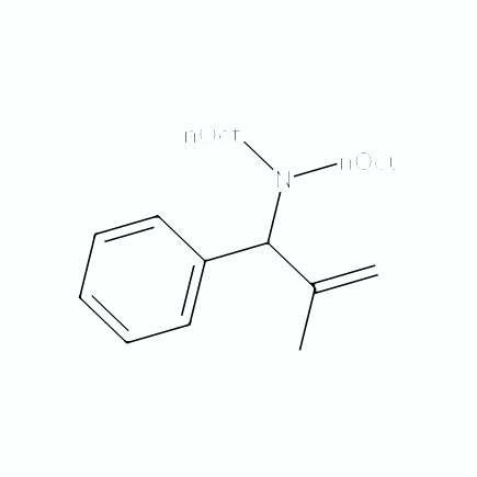 C=C(C)C(c1ccccc1)N(CCCCCCCC)CCCCCCCC